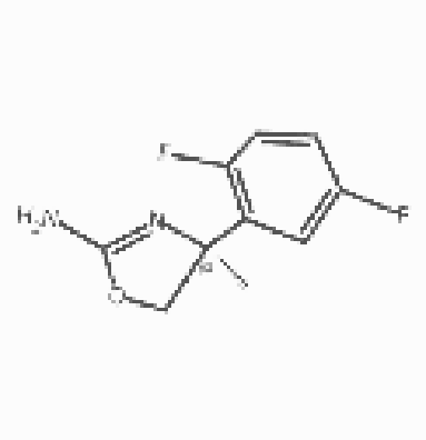 C[C@]1(c2cc(F)ccc2F)COC(N)=N1